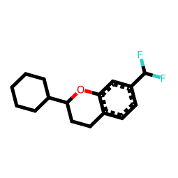 FC(F)c1ccc2c(c1)OC(C1CCCCC1)CC2